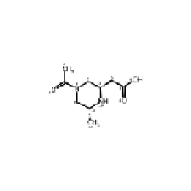 CC(=O)N1C[C@@H](CC(=O)O)N[C@H](C)C1